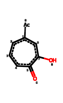 CC(=O)c1cccc(=O)c(O)c1